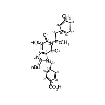 CCCCc1ncc(C(=O)N(C(=O)NO)C(C)Cc2cccc(C)c2)n1Cc1ccc(C(=O)O)cc1